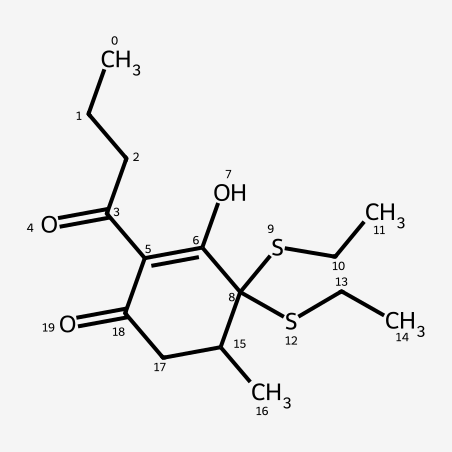 CCCC(=O)C1=C(O)C(SCC)(SCC)C(C)CC1=O